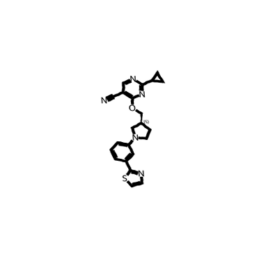 N#Cc1cnc(C2CC2)nc1OC[C@H]1CCN(c2cccc(-c3nccs3)c2)C1